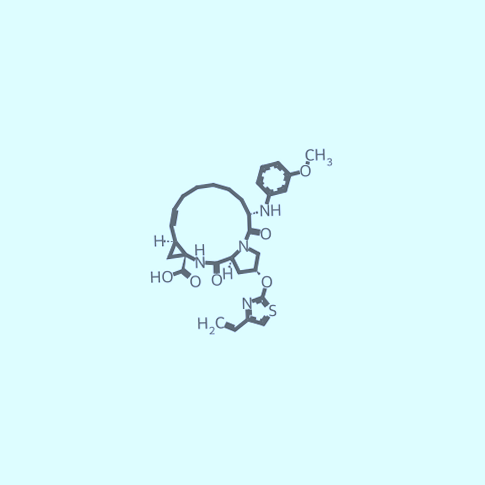 C=Cc1csc(O[C@@H]2C[C@H]3C(=O)N[C@]4(C(=O)O)C[C@H]4/C=C\CCCCC[C@H](Nc4cccc(OC)c4)C(=O)N3C2)n1